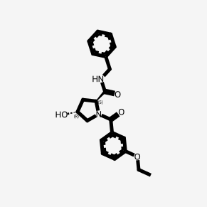 CCOc1cccc(C(=O)N2C[C@H](O)C[C@H]2C(=O)NCc2ccccc2)c1